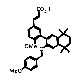 COc1ccc(COc2cc3c(cc2-c2cc(C=CC(=O)O)ccc2OC)C(C)(C)CCC3(C)C)cc1